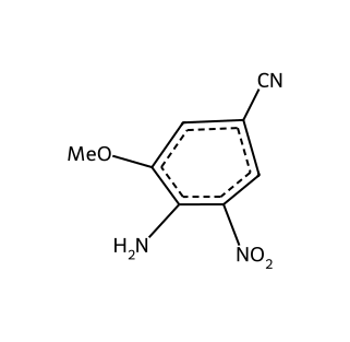 COc1cc(C#N)cc([N+](=O)[O-])c1N